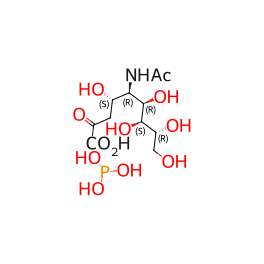 CC(=O)N[C@@H]([C@@H](O)[C@H](O)[C@H](O)CO)[C@@H](O)CC(=O)C(=O)O.OP(O)O